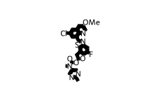 COc1cnc2c(-c3nc4cc(F)c5c(c4s3)C[C@@H](OC(=O)N(C)c3cnc(C)nc3)O5)cc(Cl)cc2c1